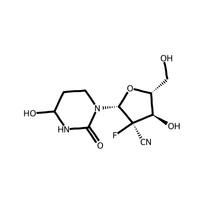 N#C[C@@]1(F)[C@H](O)[C@@H](CO)O[C@H]1N1CCC(O)NC1=O